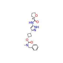 CN(Cc1ccccc1)C(=O)O[C@H]1C[C@@H](c2cc(NC(=O)[C@H]3CCCO3)[nH]n2)C1